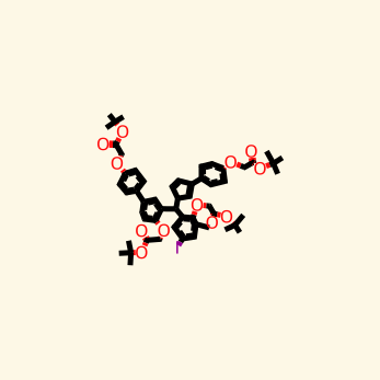 Cc1cc(I)cc(C(c2cc(-c3ccc(OCC(=O)OC(C)(C)C)cc3)ccc2OCC(=O)OC(C)(C)C)C2C=CC(c3ccc(OCC(=O)OC(C)(C)C)cc3)=C2)c1OCC(=O)OC(C)(C)C